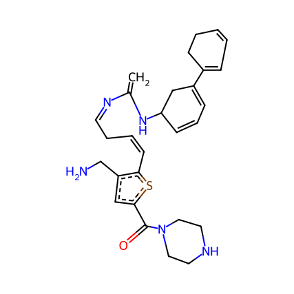 C=C(/N=C\C/C=C\c1sc(C(=O)N2CCNCC2)cc1CN)NC1C=CC=C(C2=CC=CCC2)C1